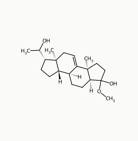 COC1(O)CC[C@]2(C)C3=CC[C@]4(C)[C@@H](C(C)O)CC[C@H]4[C@@H]3CC[C@H]12